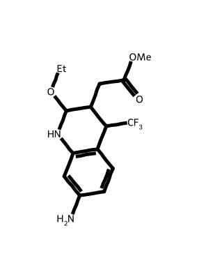 CCOC1Nc2cc(N)ccc2C(C(F)(F)F)C1CC(=O)OC